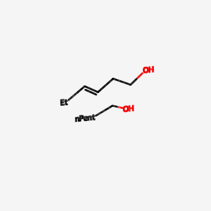 CCC=CCCO.CCCCCCO